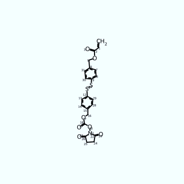 C=CC(=O)OCc1ccc(SSc2ccc(COC(=O)ON3C(=O)CCC3=O)cc2)cc1